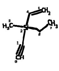 C#C[Si](C)(C=C)CC